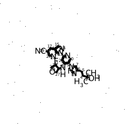 CC(C)(O)CCc1cn(-c2cnc(-n3ncc4cc(C#N)cnc43)cc2NC2COCC2F)nn1